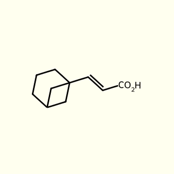 O=C(O)C=CC12CCCC(C1)C2